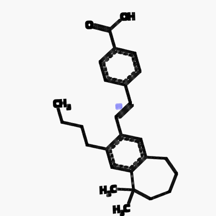 CCCCc1cc2c(cc1/C=C/c1ccc(C(=O)O)cc1)CCCCC2(C)C